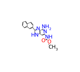 CCOC(=O)Nc1cc2c(c(N)n1)N=C(c1ccc3ccccc3c1)CN2